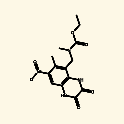 CCOC(=O)N(C)Cc1c(C)c([N+](=O)[O-])cc2[nH]c(=O)c(=O)[nH]c12